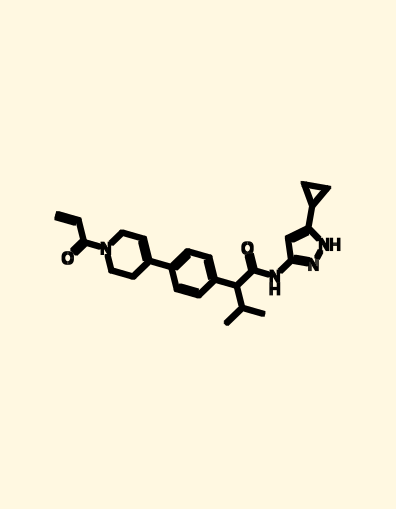 C=CC(=O)N1CC=C(c2ccc(C(C(=O)Nc3cc(C4CC4)[nH]n3)C(C)C)cc2)CC1